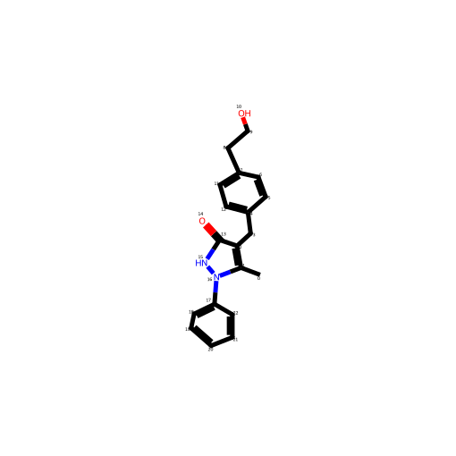 Cc1c(Cc2ccc(CCO)cc2)c(=O)[nH]n1-c1ccccc1